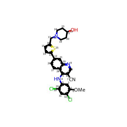 COc1cc(Nc2c(C#N)cnc3cc(-c4ccc(CN5CCC(O)CC5)s4)ccc23)c(Cl)cc1Cl